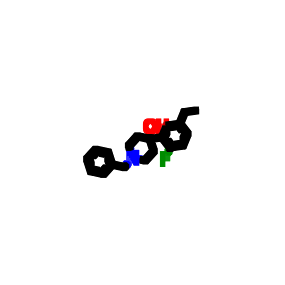 CCc1ccc(F)c(C2(O)CCN(Cc3ccccc3)CC2)c1